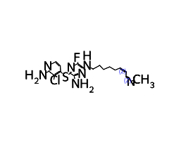 C/N=C\C=C/CCCCCNc1nc(N)c(Sc2ccnc(N)c2Cl)nc1F